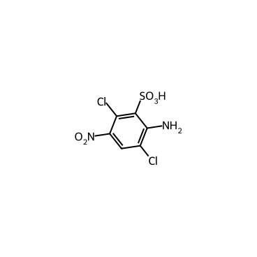 Nc1c(Cl)cc([N+](=O)[O-])c(Cl)c1S(=O)(=O)O